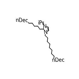 CCCCCCCCCCCCCCCCCCN1C=CN(C(C)C)C1CCCCCCCCCCCCCCC